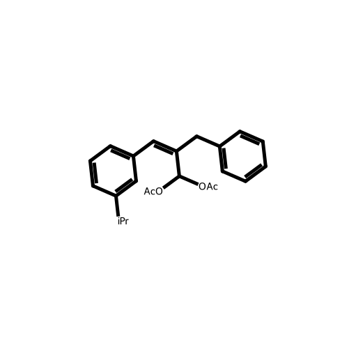 CC(=O)OC(OC(C)=O)C(=Cc1cccc(C(C)C)c1)Cc1ccccc1